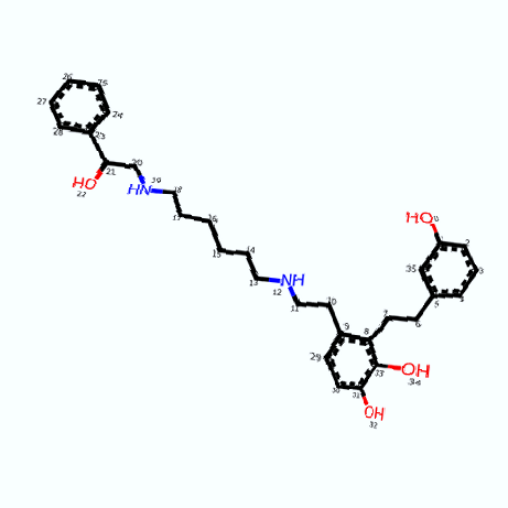 Oc1cccc(CCc2c(CCNCCCCCCNCC(O)c3ccccc3)ccc(O)c2O)c1